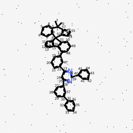 CC1(C)c2ccccc2C2(c3ccccc3-c3c(-c4cccc(-c5cc(-c6cccc(-c7ccccc7)c6)nc(-c6ccccc6)n5)c4)cccc32)c2ccccc21